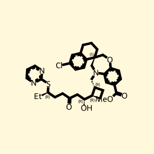 CC[C@H](CCC(=O)C[C@@H](O)[C@@H]1CC[C@H]1CN1C[C@@]2(CCCc3cc(Cl)ccc32)COc2ccc(C(=O)OC)cc21)Sc1ncccn1